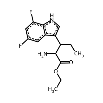 CCOC(=O)C(N)C(CC)c1c[nH]c2c(F)cc(F)cc12